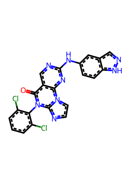 O=c1c2cnc(Nc3ccc4[nH]ncc4c3)nc2n2ccnc2n1-c1c(Cl)cccc1Cl